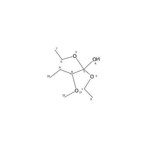 CCOC(O)(OCC)[C](CC)OC